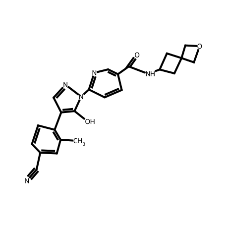 Cc1cc(C#N)ccc1-c1cnn(-c2ccc(C(=O)NC3CC4(COC4)C3)cn2)c1O